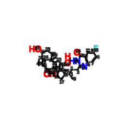 C[C@H](CCc1nc2ccc(F)cc2c(=O)[nH]1)[C@H]1CC[C@H]2[C@H]3C(C[C@H](O)[C@]12C)[C@@]1(C)CC[C@@H](O)C[C@H]1C[C@H]3O